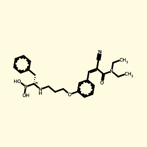 CCN(CC)C(=O)C(C#N)=Cc1cccc(OCCCN[C@@H](Cc2ccccc2)B(O)O)c1